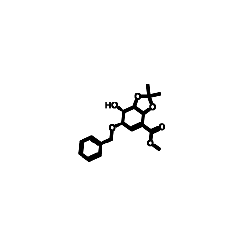 COC(=O)C1=C[C@@H](OCc2ccccc2)[C@@H](O)C2OC(C)(C)OC12